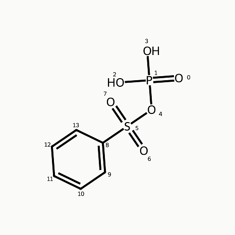 O=P(O)(O)OS(=O)(=O)c1ccccc1